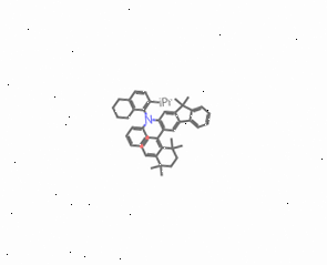 CC(C)c1ccc2c(c1N(c1ccccc1)c1cc3c(cc1-c1cccc4c1C(C)(C)CCC4(C)C)-c1ccccc1C3(C)C)CCCC2